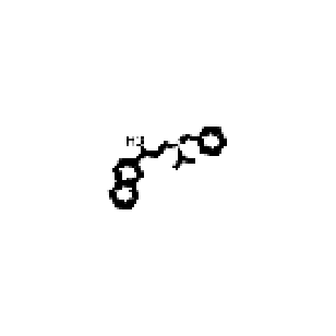 CC(C)N(CC[C@H](O)c1ccc2ccccc2c1)Cc1ccccc1